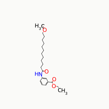 CCOC(=O)c1cccc(NC(=O)CCCCCCCCCCCOC)c1